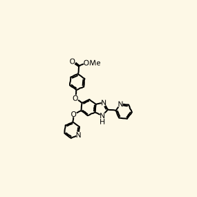 COC(=O)c1ccc(Oc2cc3nc(-c4ccccn4)[nH]c3cc2Oc2cccnc2)cc1